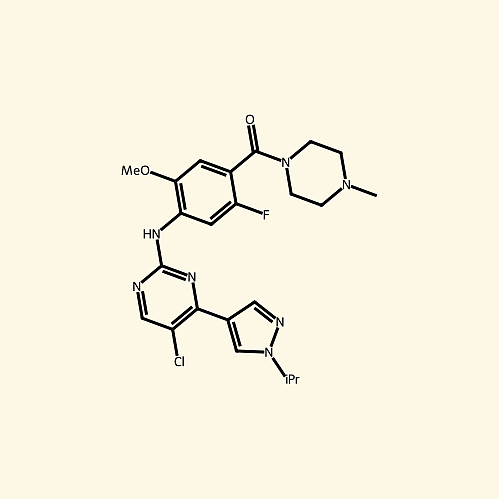 COc1cc(C(=O)N2CCN(C)CC2)c(F)cc1Nc1ncc(Cl)c(-c2cnn(C(C)C)c2)n1